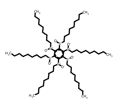 CCCCCCCCC[S+]([O-])c1c([S+]([O-])CCCCCCCCC)c([S+]([O-])CCCCCCCCC)c([S+]([O-])CCCCCCCCC)c([S+]([O-])CCCCCCCCC)c1[S+]([O-])CCCCCCCCC